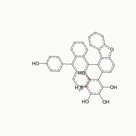 Bc1c(O)c(O)c(O)c(-c2ccc3oc4ccccc4c3c2-c2c3ccccc3c(-c3ccc(O)cc3)c3ccccc23)c1O